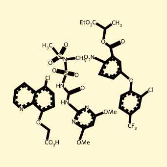 CCOC(=O)C(C)OC(=O)c1cc(Oc2ccc(C(F)(F)F)cc2Cl)ccc1[N+](=O)[O-].COc1cc(OC)nc(NC(=O)NS(=O)(=O)N(C)S(C)(=O)=O)n1.O=C(O)COc1ccc(Cl)c2cccnc12